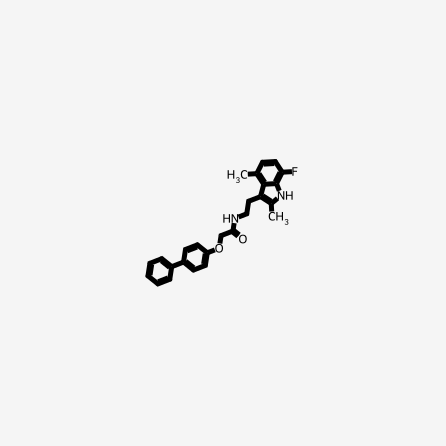 Cc1[nH]c2c(F)ccc(C)c2c1CCNC(=O)COc1ccc(-c2ccccc2)cc1